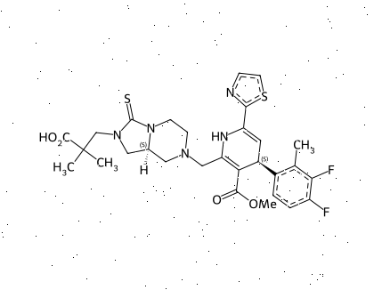 COC(=O)C1=C(CN2CCN3C(=S)N(CC(C)(C)C(=O)O)C[C@@H]3C2)NC(c2nccs2)=C[C@H]1c1ccc(F)c(F)c1C